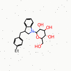 CCc1ccc(CC2CN(C3OC(CO)[C@@H](O)C(O)[C@H]3O)c3ccccc32)cc1